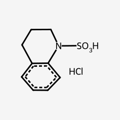 Cl.O=S(=O)(O)N1CCCc2ccccc21